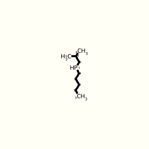 CCCCCPCC(C)C